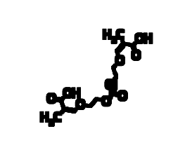 CC(=COCCO[PH](=O)OCCOC=C(C)C(=O)O)C(=O)O